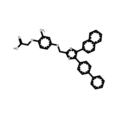 Cc1cc(OCc2nc(-c3ccc4ccccc4c3)c(-c3ccc(-c4ccccc4)cc3)s2)ccc1OCC(=O)O